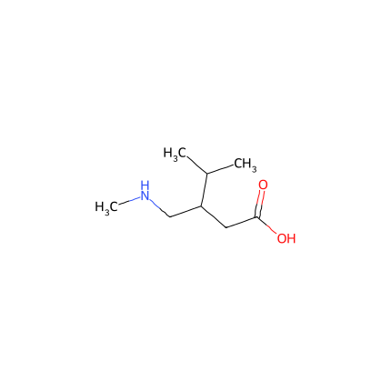 CNCC(CC(=O)O)C(C)C